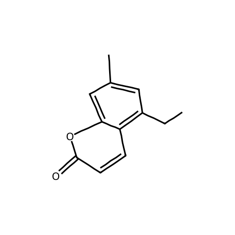 CCc1cc(C)cc2oc(=O)ccc12